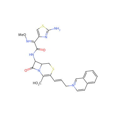 CON=C(C(=O)NC1C(=O)N2C(C(=O)O)=C(/C=C/C[n+]3ccc4ccccc4c3)SCC12)c1csc(N)n1